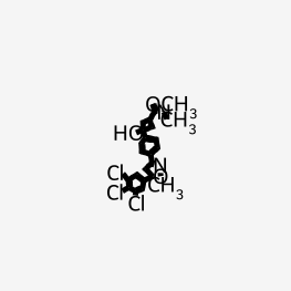 CN(C)C(=O)C1CC(O)(c2ccc(C3=NOC(C)(c4cc(Cl)c(Cl)c(Cl)c4)C3)cc2)C1